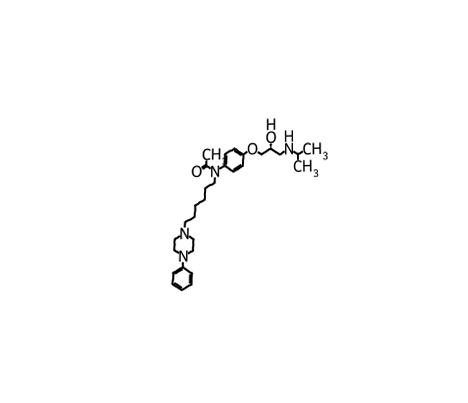 CC(=O)N(CCCCCCN1CCN(c2ccccc2)CC1)c1ccc(OC[C@@H](O)CNC(C)C)cc1